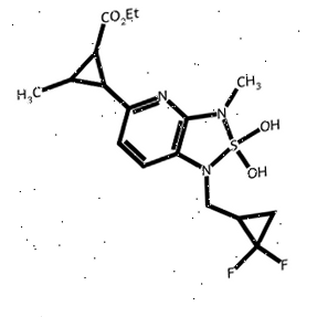 CCOC(=O)C1C(C)C1c1ccc2c(n1)N(C)S(O)(O)N2CC1CC1(F)F